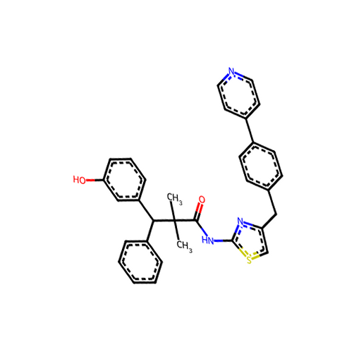 CC(C)(C(=O)Nc1nc(Cc2ccc(-c3ccncc3)cc2)cs1)C(c1ccccc1)c1cccc(O)c1